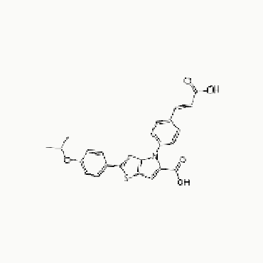 CC(C)Oc1ccc(-c2cc3c(cc(C(=O)O)n3-c3ccc(/C=C/C(=O)O)cc3)s2)cc1